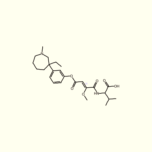 CCC1(c2cccc(OC(=O)/C=C(\OC)C(=O)NC(C(=O)O)C(C)C)c2)CCCCN(C)C1